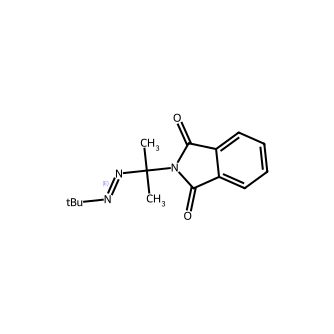 CC(C)(C)/N=N/C(C)(C)N1C(=O)c2ccccc2C1=O